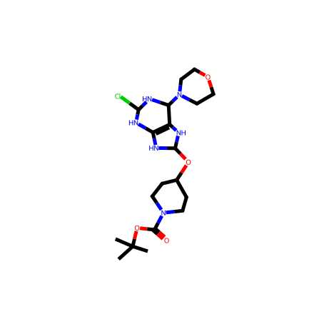 CC(C)(C)OC(=O)N1CCC(OC2NC3=C(N2)C(N2CCOCC2)NC(Cl)N3)CC1